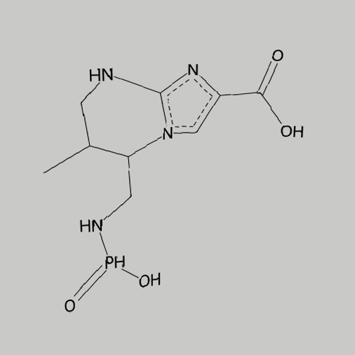 CC1CNc2nc(C(=O)O)cn2C1CN[PH](=O)O